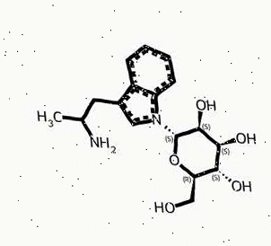 CC(N)Cc1cn([C@H]2O[C@H](CO)[C@@H](O)[C@H](O)[C@@H]2O)c2ccccc12